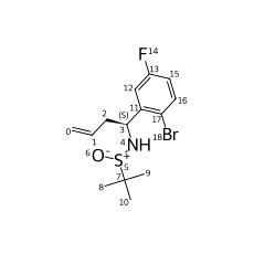 C=CC[C@H](N[S+]([O-])C(C)(C)C)c1cc(F)ccc1Br